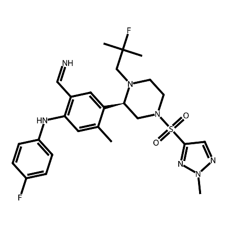 Cc1cc(Nc2ccc(F)cc2)c(C=N)cc1[C@@H]1CN(S(=O)(=O)c2cnn(C)n2)CCN1CC(C)(C)F